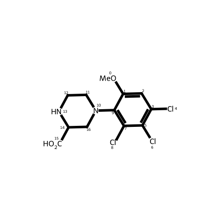 COc1cc(Cl)c(Cl)c(Cl)c1N1CCNC(C(=O)O)C1